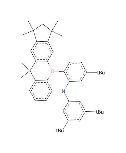 CC(C)(C)c1cc(N2c3cc(C(C)(C)C)ccc3B3c4cc5c(cc4C(C)(C)c4cccc2c43)C(C)(C)CC5(C)C)cc(C(C)(C)C)c1